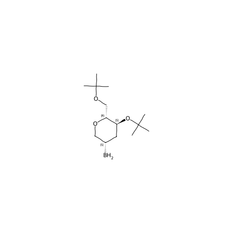 B[C@@H]1CO[C@H](COC(C)(C)C)[C@@H](OC(C)(C)C)C1